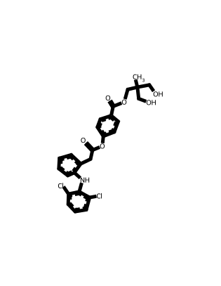 CC(CO)(CO)COC(=O)c1ccc(OC(=O)Cc2ccccc2Nc2c(Cl)cccc2Cl)cc1